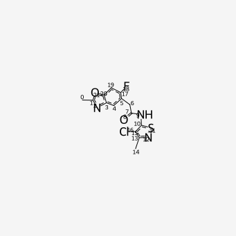 Cc1nc2cc(CC(=O)Nc3snc(C)c3Cl)c(F)cc2o1